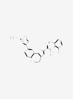 Cn1cc(-c2ccc3c(c2)-c2sc(C(=O)Nc4c(F)cccc4F)cc2CCO3)cn1